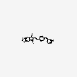 O=C1c2cc3c(cc2C(=O)N1CCC1CCN(Cc2cccc(F)c2)CC1)OCO3